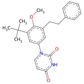 COc1c(CCc2ccccc2)cc(-n2ccc(=O)[nH]c2=O)cc1C(C)(C)C